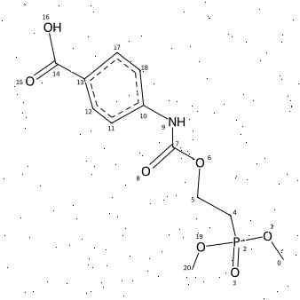 COP(=O)(CCOC(=O)Nc1ccc(C(=O)O)cc1)OC